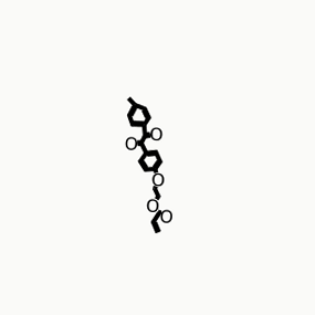 C=CC(=O)OCCOc1ccc(C(=O)C(=O)c2ccc(C)cc2)cc1